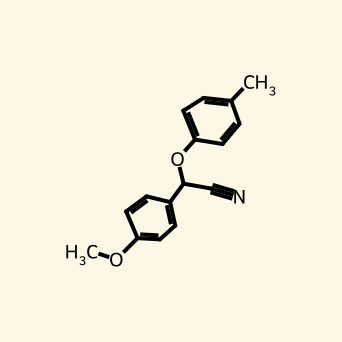 COc1ccc(C(C#N)Oc2ccc(C)cc2)cc1